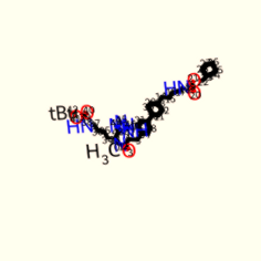 CN(C(=O)CCc1ccc(-c2ccc(CCCCNC(=O)OCc3ccccc3)cc2)cc1)[C@@H](CCCCNC(=O)OC(C)(C)C)c1nnn[nH]1